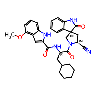 COc1cccc2[nH]c(C(=O)N[C@H](CC3CCCCC3)C(=O)N3C[C@]4(C[C@H]3C#N)C(=O)Nc3ccccc34)cc12